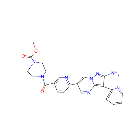 COC(=O)N1CCN(C(=O)c2ccc(-c3cnc4c(-c5ccccn5)c(N)nn4c3)nc2)CC1